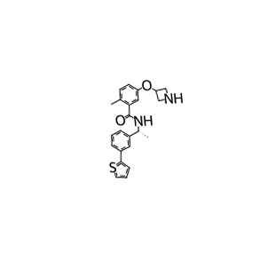 Cc1ccc(OC2CNC2)cc1C(=O)N[C@H](C)c1cccc(-c2cccs2)c1